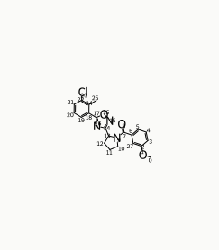 COc1cccc(C(=O)N2CCCC2c2noc(-c3cccc(Cl)c3C)n2)c1